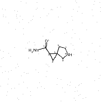 NC(=O)[C]1CC12CCNC2